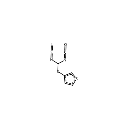 O=C=NC(N=C=O)Sc1ccsc1